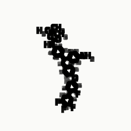 CC(C)(C)OC(=O)Nc1ccc(C(Cc2ccc(Oc3ccc(-c4cc(F)c(F)c(F)c4)c(F)c3)cc2)c2ccc(N)cc2)cc1